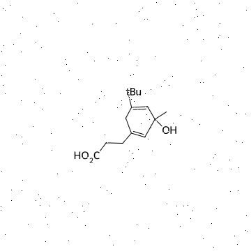 CC1(O)C=C(CCC(=O)O)CC(C(C)(C)C)=C1